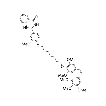 COc1cc(C2NC(=O)c3ccccc3N2)ccc1OCCCCCCCOc1c(OC)cc(/C=C\c2cc(OC)c(OC)c(OC)c2)cc1OC